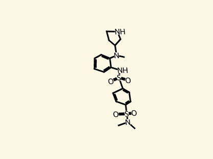 CN(c1ccccc1NS(=O)(=O)c1ccc(S(=O)(=O)N(C)C)cc1)C1CCNC1